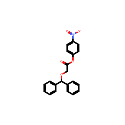 O=C(COC(c1ccccc1)c1ccccc1)Oc1ccc([N+](=O)[O-])cc1